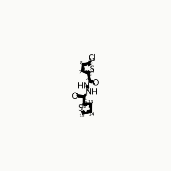 O=C(NNC(=O)c1ccc(Cl)s1)c1cccs1